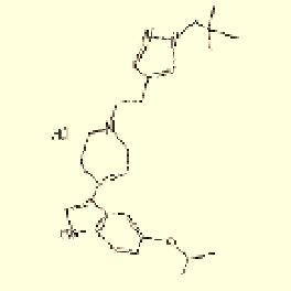 CC(C)Oc1ccc2[nH]cc(C3=CCN(CCc4cnn(CC(C)(C)C)c4)CC3)c2c1.Cl